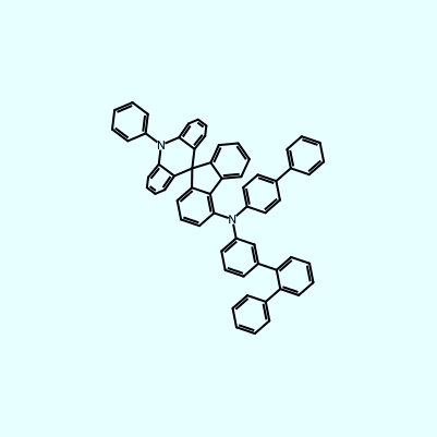 c1ccc(-c2ccc(N(c3cccc(-c4ccccc4-c4ccccc4)c3)c3cccc4c3-c3ccccc3C43c4ccccc4N(c4ccccc4)c4ccccc43)cc2)cc1